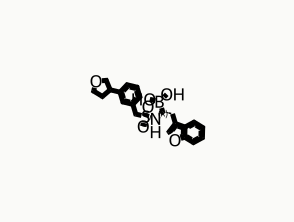 O=S(=O)(Cc1cccc(C2CCOC2)c1)N[C@@H](Cc1coc2ccccc12)B(O)O